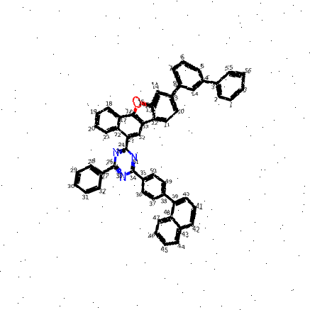 c1ccc(-c2cccc(-c3ccc4c(c3)oc3c5ccccc5c(-c5nc(-c6ccccc6)nc(-c6ccc(-c7cccc8ccccc78)cc6)n5)cc43)c2)cc1